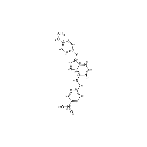 COc1ccc(Cn2cnc3c(SCc4ccc([N+](=O)[O-])cc4)ncnc32)cc1